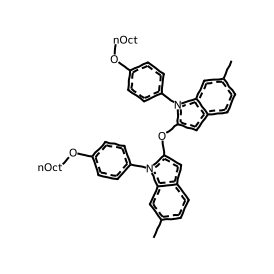 CCCCCCCCOc1ccc(-n2c(Oc3cc4ccc(C)cc4n3-c3ccc(OCCCCCCCC)cc3)cc3ccc(C)cc32)cc1